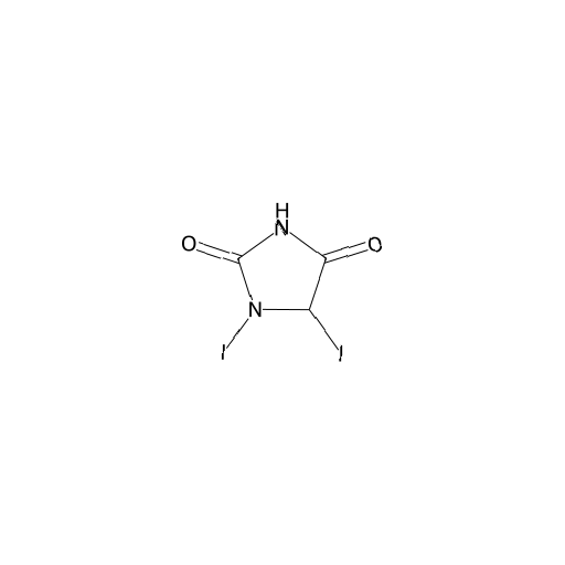 O=C1NC(=O)N(I)C1I